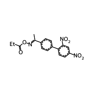 CCC(=O)ON=C(C)c1ccc(-c2ccc([N+](=O)[O-])cc2[N+](=O)[O-])cc1